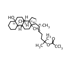 C[C@H](CCCC(C)(C)OC(=O)C(Cl)(Cl)Cl)[C@H]1CC[C@H]2[C@@H]3CC[C@@]4(O)CCCC[C@]4(C)[C@H]3CC[C@]12C